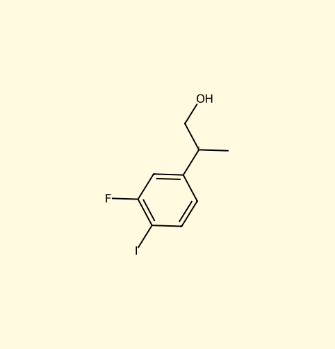 C[C](CO)c1ccc(I)c(F)c1